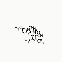 Cc1cccc(N(C)C(=O)[C@@H]2CSC(=O)N2c2nc(C)cc(C(F)(F)F)c2C#N)c1